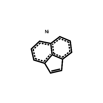 C1=Cc2cccc3cccc1c23.[Ni]